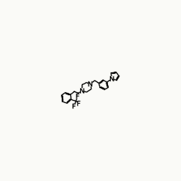 FC(F)(F)c1ccccc1CCN1CCN(Cc2cccc(-n3cccc3)c2)CC1